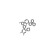 CCOc1cccc(OC(=O)OC)c1COc1cc(C)c(C)cc1Cl